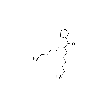 CCCCCCC(CCCCCC)C(=O)N1CCCC1